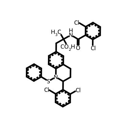 CC(Cc1ccc2c(c1)CCC(c1c(Cl)cccc1Cl)N2Sc1ccccc1)(NC(=O)c1c(Cl)cccc1Cl)C(=O)O